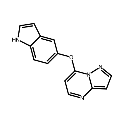 c1cc(Oc2ccc3[nH]ccc3c2)n2nccc2n1